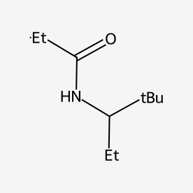 C[CH]C(=O)NC(CC)C(C)(C)C